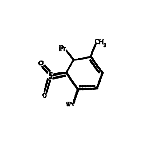 CC1=CC=C(C(C)C)C(=S(=O)=O)C1C(C)C